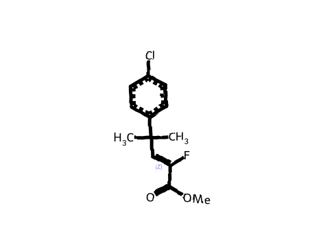 COC(=O)/C(F)=C/C(C)(C)c1ccc(Cl)cc1